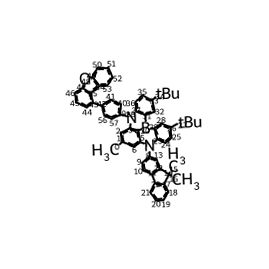 Cc1cc2c3c(c1)N(c1ccc4c(c1)C(C)(C)c1ccccc1-4)c1ccc(C(C)(C)C)cc1B3c1cc(C(C)(C)C)ccc1N2c1ccc(-c2cccc3oc4ccccc4c23)cc1